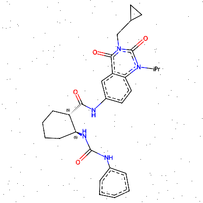 CC(C)n1c(=O)n(CC2CC2)c(=O)c2cc(NC(=O)[C@H]3CCCC[C@@H]3NC(=O)Nc3ccccc3)ccc21